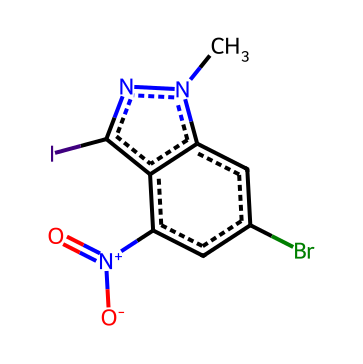 Cn1nc(I)c2c([N+](=O)[O-])cc(Br)cc21